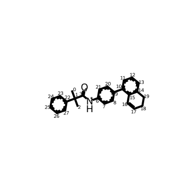 CC(C)(C(=O)Nc1ccc(-c2cccc3c2C=CCC3)cc1)c1ccccc1